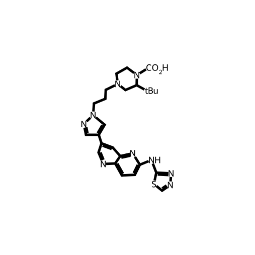 CC(C)(C)C1CN(CCCn2cc(-c3cnc4ccc(Nc5nncs5)nc4c3)cn2)CCN1C(=O)O